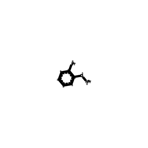 [CH2]CCOc1ccccc1C(C)C